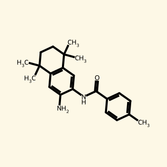 Cc1ccc(C(=O)Nc2cc3c(cc2N)C(C)(C)CCC3(C)C)cc1